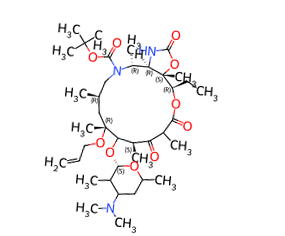 C=CCO[C@]1(C)C[C@@H](C)CN(C(=O)OC(C)(C)C)[C@H](C)[C@H]2NC(=O)O[C@]2(C)[C@@H](CC)OC(=O)C(C)C(=O)[C@@H](C)C1O[C@@H]1OC(C)CC(N(C)C)C1C